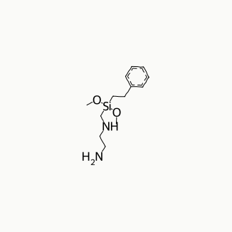 CO[Si](CCc1ccccc1)(CNCCN)OC